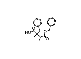 CN(C(=O)OCc1ccccc1)C(C)(Cc1ccccc1)C(=O)O